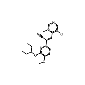 CCC(CC)Oc1nc(C(C#N)=Cc2c(Cl)cncc2Cl)ccc1OC